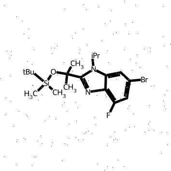 CC(C)n1c(C(C)(C)O[Si](C)(C)C(C)(C)C)nc2c(F)cc(Br)cc21